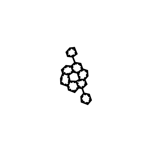 c1ccc(-c2cc3ccc4cc(-c5ccccc5)c5ccc6ccc7ccc2c2c7c6c5c4c32)cc1